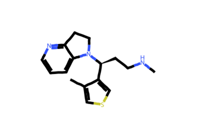 CNCC[C@@H](c1cscc1C)N1CCc2ncccc21